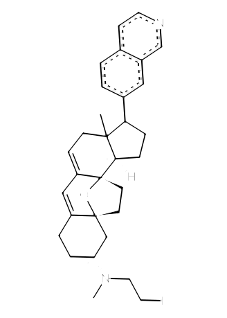 CN(CCF)[C@@H]1CCC2=CC3=CCC4(C)C(c5ccc6ccncc6c5)CC[C@H]4[C@@]34CC[C@]2(C1)O4